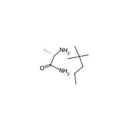 CCCC(C)(C)C.C[C@H](N)C(N)=O